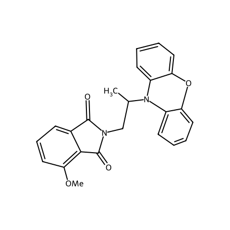 COc1cccc2c1C(=O)N(CC(C)N1c3ccccc3Oc3ccccc31)C2=O